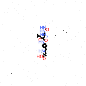 CNC(=O)NCCCC(C(=O)Nc1ccc(CC(CC(C)(C)C(=O)O)NC)cc1)C(=O)C(N)C(C)C